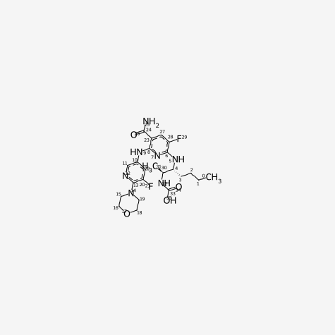 CCCC[C@@H](Nc1nc(Nc2cnc(N3CCOCC3)c(F)c2)c(C(N)=O)cc1F)[C@H](C)NC(=O)O